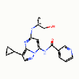 CC(C)[C@@H](CO)Nc1cc(NC(=O)c2cccnc2)n2ncc(C3CC3)c2n1